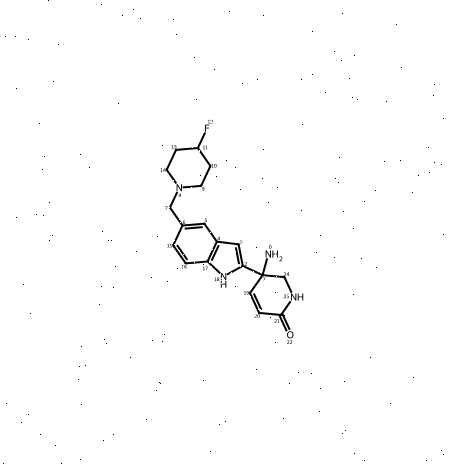 NC1(c2cc3cc(CN4CCC(F)CC4)ccc3[nH]2)C=CC(=O)NC1